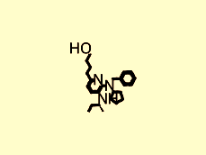 CC[C@H](C)Nc1ccc(CCCCO)nc1N(Cc1ccccc1)C1CCCC1